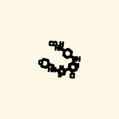 O=C(O)NC1CCC(Nc2cc(-c3csc(NCC4CCOCC4)n3)c(Cl)cn2)CC1